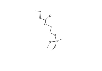 CC=CC(=O)OCCO[Si](C)(OC)OC